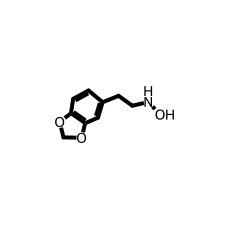 ONCCc1ccc2c(c1)OCO2